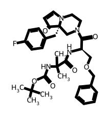 CC(C)(C)OC(=O)NC(C)(C)C(=O)N[C@H](COCc1ccccc1)C(=O)N1CCN2C=CC(=O)[C@]2(Cc2ccc(F)cc2)C1